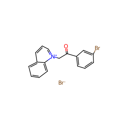 O=C(C[n+]1cccc2ccccc21)c1cccc(Br)c1.[Br-]